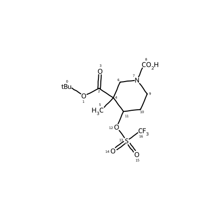 CC(C)(C)OC(=O)C1(C)CN(C(=O)O)CCC1OS(=O)(=O)C(F)(F)F